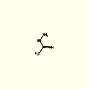 CC(=N)NN